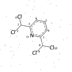 ClC(Cl)c1cccc(C(Cl)Cl)n1